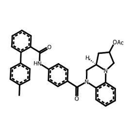 CC(=O)OC1C[C@@H]2CN(C(=O)c3ccc(NC(=O)c4ccccc4-c4ccc(C)cc4)cc3)c3ccccc3N2C1